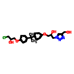 CC(C)(c1ccc(OC[C@H](O)CCl)cc1)c1ccc(OC[C@@H](O)Cn2cc(CO)nn2)cc1